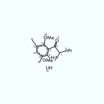 [CH2]CCC(P)C(=O)c1c(OC)c(C)cc(C)c1OC.[LiH]